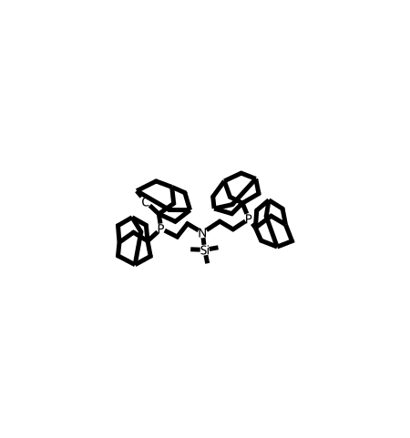 C[Si](C)(C)N(CCP(C12CC3CC(CC(C3)C1)C2)C12CC3CC(CC(C3)C1)C2)CCP(C12CC3CC(CC(C3)C1)C2)C12CC3CC(CC(C3)C1)C2